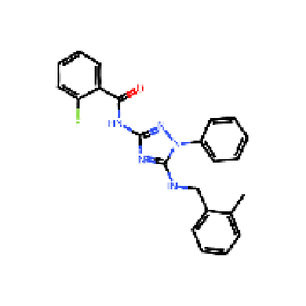 Cc1ccccc1CNc1nc(NC(=O)c2ccccc2F)nn1-c1ccccc1